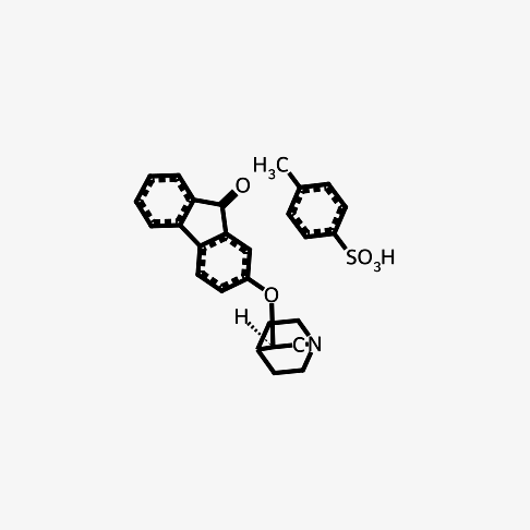 Cc1ccc(S(=O)(=O)O)cc1.O=C1c2ccccc2-c2ccc(O[C@H]3CN4CCC3CC4)cc21